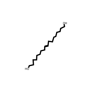 OCCCCCCCC/C=C/CCCCCCCCO